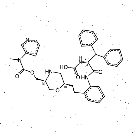 CN(C(=O)OC[C@@H]1CO[C@H](CCc2ccccc2NC(=O)[C@@H](NC(=O)O)C(c2ccccc2)c2ccccc2)CN1)c1cccnc1